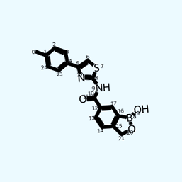 Cc1ccc(-c2csc(NC(=O)c3ccc4c(c3)B(O)OC4)n2)cc1